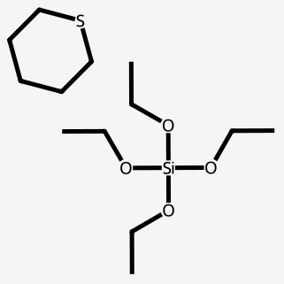 C1CCSCC1.CCO[Si](OCC)(OCC)OCC